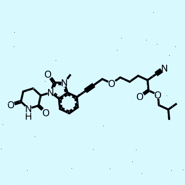 CC(C)COC(=O)C(C#N)CCCOCC#Cc1cccc2c1n(C)c(=O)n2C1CCC(=O)NC1=O